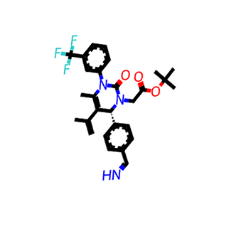 C=C(C)C1=C(C)N(c2cccc(C(F)(F)F)c2)C(=O)N(CC(=O)OC(C)(C)C)[C@@H]1c1ccc(C=N)cc1